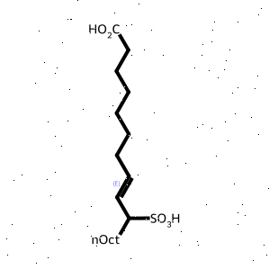 CCCCCCCCC(/C=C/CCCCCCC(=O)O)S(=O)(=O)O